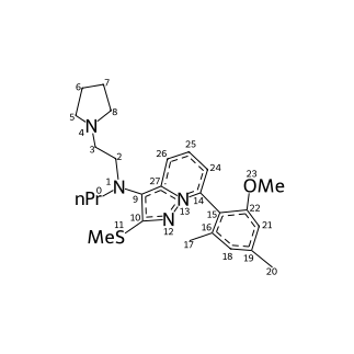 CCCN(CCN1CCCC1)c1c(SC)nn2c(-c3c(C)cc(C)cc3OC)cccc12